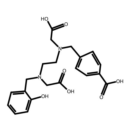 O=C(O)CN(CCN(CC(=O)O)Cc1ccccc1O)Cc1ccc(C(=O)O)cc1